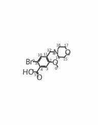 COc1cc(C(=O)O)c(Br)cc1CN1CCOCC1